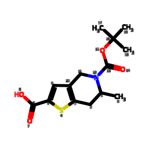 CC1Cc2sc(C(=O)O)cc2CN1C(=O)OC(C)(C)C